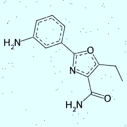 CCc1oc(-c2cccc(N)c2)nc1C(N)=O